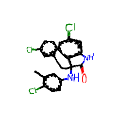 Cc1cc(NC2(Cc3cccc(Cl)c3)C(=O)Nc3cc(Cl)ccc32)ccc1Cl